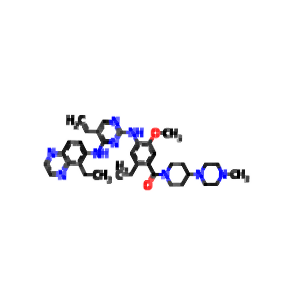 C=Cc1cnc(Nc2cc(CC)c(C(=O)N3CCC(N4CCN(C)CC4)CC3)cc2OC)nc1Nc1ccc2nccnc2c1CC